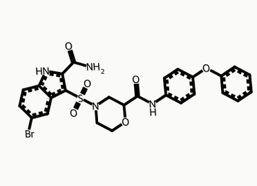 NC(=O)c1[nH]c2ccc(Br)cc2c1S(=O)(=O)N1CCOC(C(=O)Nc2ccc(Oc3ccccc3)cc2)C1